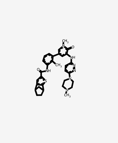 Cc1c(NC(=O)c2cc3c(s2)C2CCC3C2)cccc1-c1cc(Nc2ccc(N3CCN(C)CC3)nn2)c(=O)n(C)c1